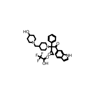 O=C(O)C(F)(F)F.O=C(c1ccc2cc[nH]c2c1)C(c1ccccc1)(C1CO1)N1CCC(CN2CCC(O)CC2)CC1